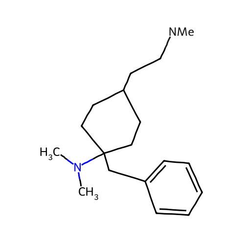 CNCCC1CCC(Cc2ccccc2)(N(C)C)CC1